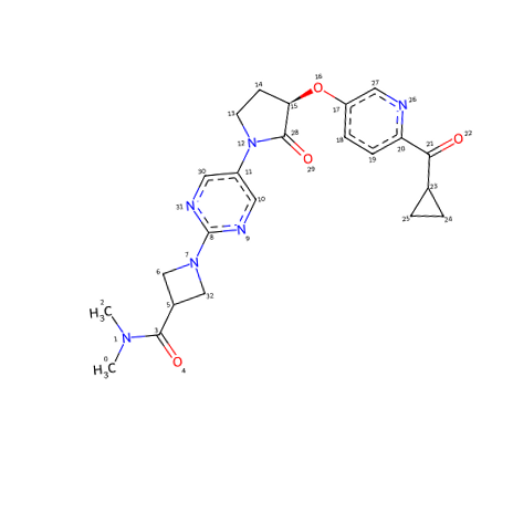 CN(C)C(=O)C1CN(c2ncc(N3CC[C@@H](Oc4ccc(C(=O)C5CC5)nc4)C3=O)cn2)C1